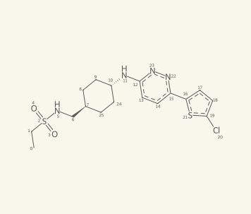 CCS(=O)(=O)NC[C@H]1CC[C@H](Nc2ccc(-c3ccc(Cl)s3)nn2)CC1